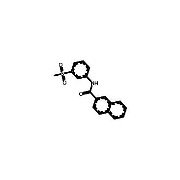 CS(=O)(=O)c1cccc(NC(=O)c2ccc3ccccc3c2)c1